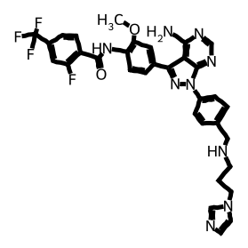 COc1cc(-c2nn(-c3ccc(CNCCCn4ccnc4)cc3)c3ncnc(N)c23)ccc1NC(=O)c1ccc(C(F)(F)F)cc1F